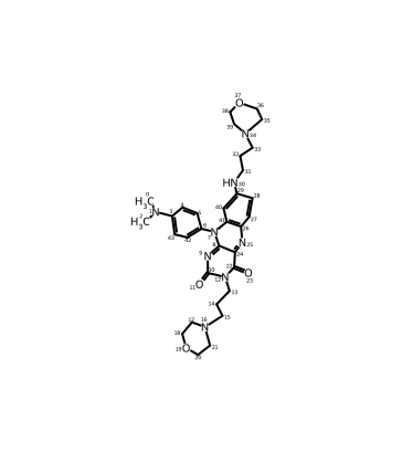 CN(C)c1ccc(-n2c3nc(=O)n(CCCN4CCOCC4)c(=O)c-3nc3ccc(NCCCN4CCOCC4)cc32)cc1